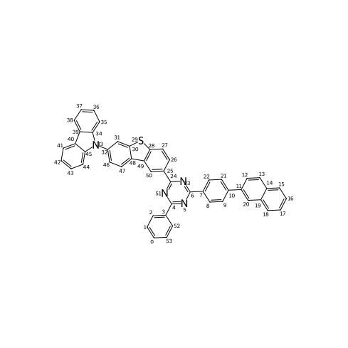 c1ccc(-c2nc(-c3ccc(-c4ccc5ccccc5c4)cc3)nc(-c3ccc4sc5cc(-n6c7ccccc7c7ccccc76)ccc5c4c3)n2)cc1